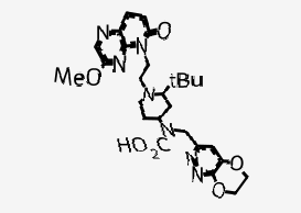 COc1cnc2ccc(=O)n(CCN3CCC(N(Cc4cc5c(nn4)OCCO5)C(=O)O)CC3C(C)(C)C)c2n1